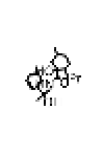 CC1CCC(C(C)C)C(O)(C(=O)NCC(C)(O)c2ccccc2)C1